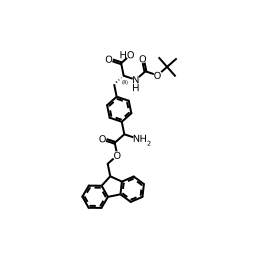 CC(C)(C)OC(=O)N[C@H](Cc1ccc(C(N)C(=O)OCC2c3ccccc3-c3ccccc32)cc1)C(=O)O